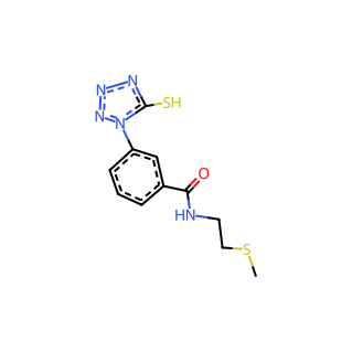 CSCCNC(=O)c1cccc(-n2nnnc2S)c1